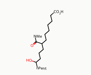 CCCCCC(O)CCCC(CCCCCCC(=O)O)C(=O)NC